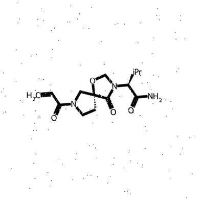 C=CC(=O)N1CC[C@]2(C1)OCN([C@H](C(N)=O)C(C)C)C2=O